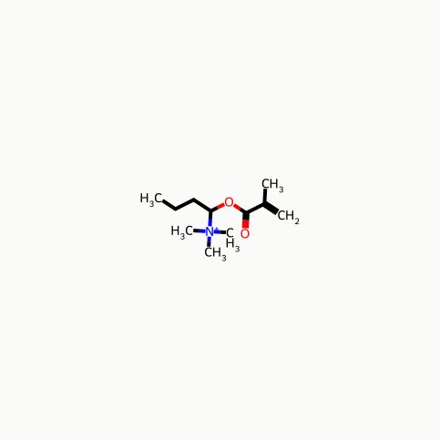 C=C(C)C(=O)OC(CCC)[N+](C)(C)C